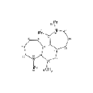 CC(C)C1CC(CC(C)C2CCCCCN2C(C)C)CCCN1C(C)C